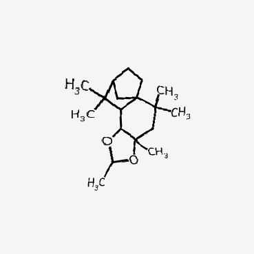 CC1OC2C3C(C)(C)C4CCC3(C4)C(C)(C)CC2(C)O1